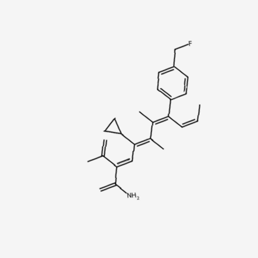 C=C(C)\C(=C/C(=C(C)/C(C)=C(\C=C/C)c1ccc(CF)cc1)C1CC1)C(=C)N